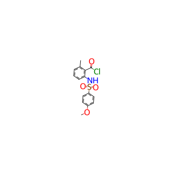 COc1ccc(S(=O)(=O)Nc2cccc(C)c2C(=O)Cl)cc1